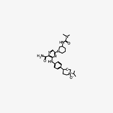 CC(C)[N+]1([O-])CCC(c2ccc(Nc3nc(N4CCCC(NC(=O)N(C)C)C4)cnc3C(N)=O)cc2)CC1